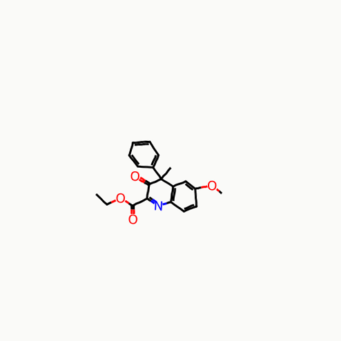 CCOC(=O)C1=Nc2ccc(OC)cc2C(C)(c2ccccc2)C1=O